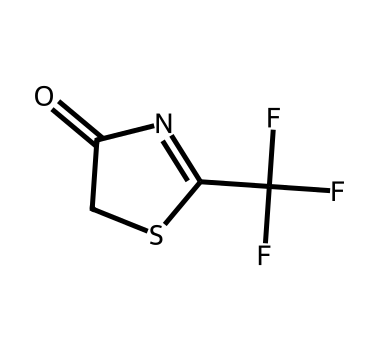 O=C1CSC(C(F)(F)F)=N1